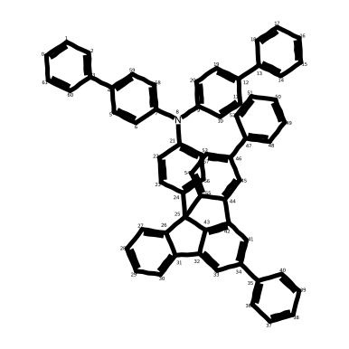 c1ccc(-c2ccc(N(c3ccc(-c4ccccc4)cc3)c3ccc(C45c6ccccc6-c6cc(-c7ccccc7)cc(c64)-c4cc(-c6ccccc6)ccc45)cc3)cc2)cc1